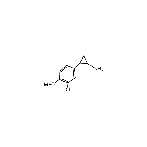 COc1ccc(C2CC2N)cc1Cl